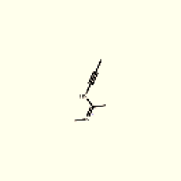 CC#CN/C(C)=N\C